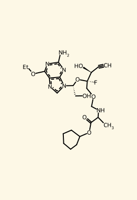 C#C[C@H](O)[C@@](F)(COCNC(C)C(=O)OC1CCCCC1)O[C@H](CO)n1cnc2c(OCC)nc(N)nc21